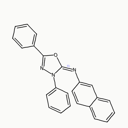 c1ccc(-c2nn(-c3ccccc3)/c(=N\c3ccc4ccccc4c3)o2)cc1